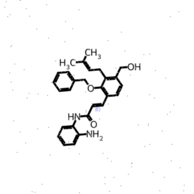 CC(C)=CCc1c(CO)ccc(/C=C/C(=O)Nc2ccccc2N)c1OCc1ccccc1